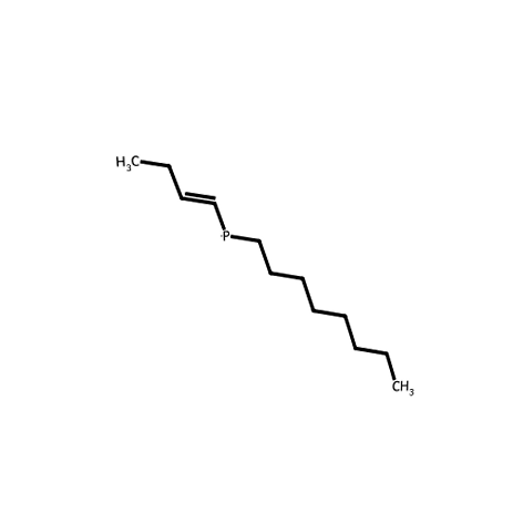 CCC=C[P]CCCCCCCC